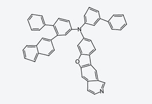 c1ccc(-c2cccc(N(c3ccc(-c4ccccc4)c(-c4ccc5ccccc5c4)c3)c3ccc4c(c3)oc3cc5ccncc5cc34)c2)cc1